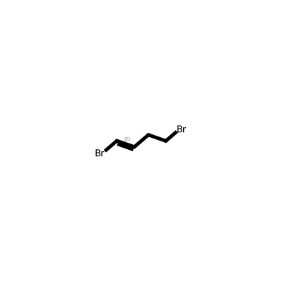 Br/C=C/CCBr